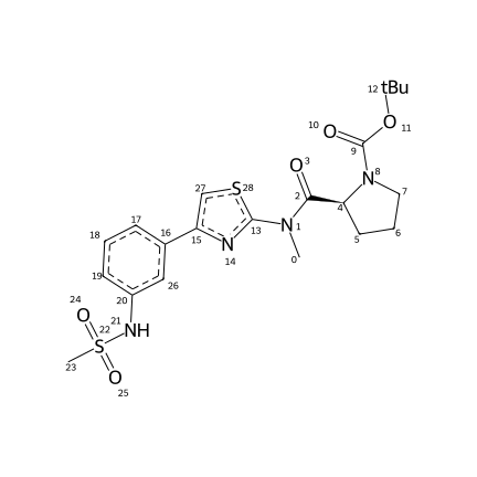 CN(C(=O)[C@@H]1CCCN1C(=O)OC(C)(C)C)c1nc(-c2cccc(NS(C)(=O)=O)c2)cs1